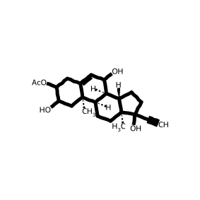 C#CC1(O)CC[C@H]2[C@@H]3C(O)C=C4CC(OC(C)=O)C(O)C[C@]4(C)[C@@H]3CC[C@@]21C